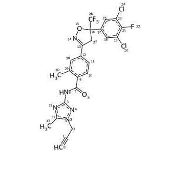 C#CCn1nc(NC(=O)c2ccc(C3=NOC(c4cc(Cl)c(F)c(Cl)c4)(C(F)(F)F)C3)cc2C)nc1C